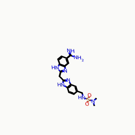 CN(C)S(=O)(=O)NCc1ccc2[nH]c(Cc3nc4cc(C(=N)N)ccc4[nH]3)nc2c1